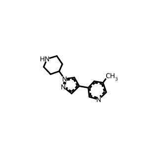 Cc1cncc(-c2cnn(C3CCNCC3)c2)c1